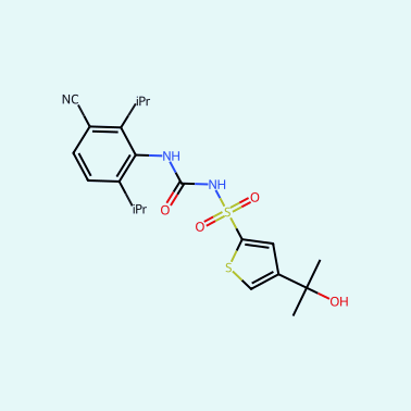 CC(C)c1ccc(C#N)c(C(C)C)c1NC(=O)NS(=O)(=O)c1cc(C(C)(C)O)cs1